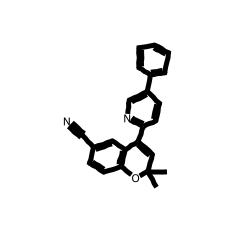 CC1(C)C=C(c2ccc(-c3ccccc3)cn2)c2cc(C#N)ccc2O1